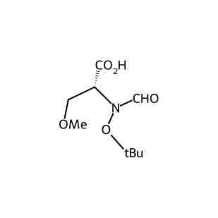 COC[C@H](C(=O)O)N(C=O)OC(C)(C)C